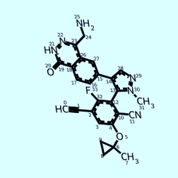 C#Cc1cc(OC2(C)CC2)c(C#N)c(-c2c(-c3ccc4c(=O)[nH]nc(CN)c4c3)cnn2C)c1F